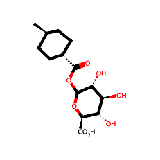 C[C@H]1CC[C@H](C(=O)OC2O[C@H](C(=O)O)[C@@H](O)[C@H](O)[C@H]2O)CC1